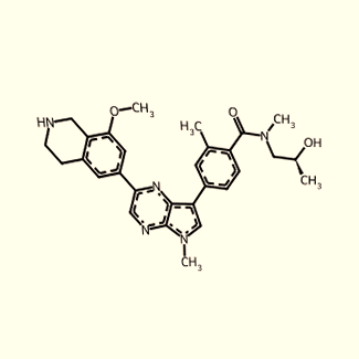 COc1cc(-c2cnc3c(n2)c(-c2ccc(C(=O)N(C)C[C@H](C)O)c(C)c2)cn3C)cc2c1CNCC2